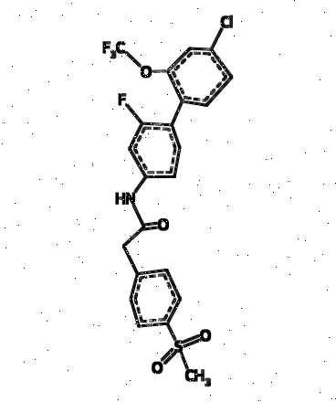 CS(=O)(=O)c1ccc(CC(=O)Nc2ccc(-c3ccc(Cl)cc3OC(F)(F)F)c(F)c2)cc1